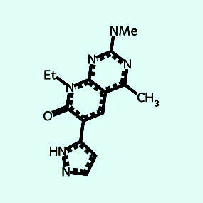 CCn1c(=O)c(-c2ccn[nH]2)cc2c(C)nc(NC)nc21